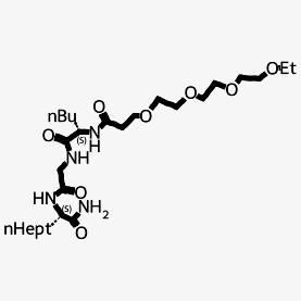 CCCCCCC[C@H](NC(=O)CNC(=O)[C@H](CCCC)NC(=O)CCOCCOCCOCCOCC)C(N)=O